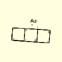 C12C3C4C1C1C2C3C41.[Au]